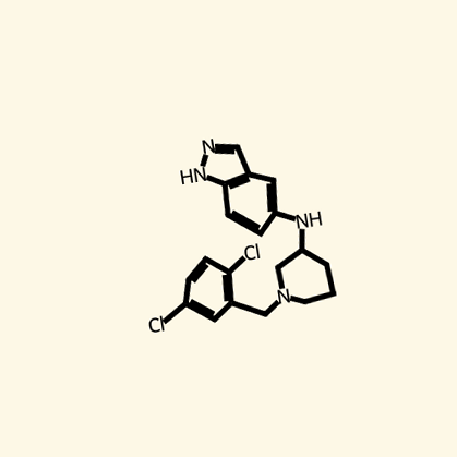 Clc1ccc(Cl)c(CN2CCCC(Nc3ccc4[nH]ncc4c3)C2)c1